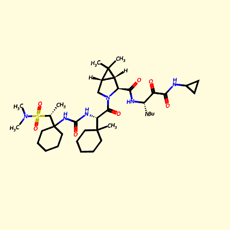 CCCC[C@H](NC(=O)[C@@H]1[C@@H]2[C@H](CN1C(=O)[C@@H](NC(=O)NC1([C@@H](C)S(=O)(=O)N(C)C)CCCCC1)C1(C)CCCCC1)C2(C)C)C(=O)C(=O)NC1CC1